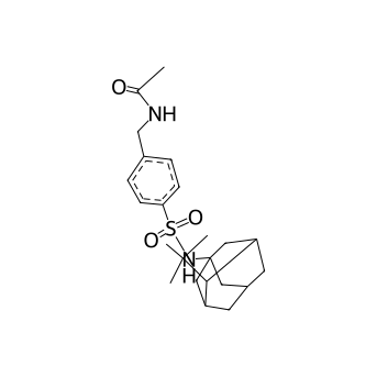 CC(=O)NCc1ccc(S(=O)(=O)NC23CC4CC(C2)C(C(C)(C)C)C(C4)C3)cc1